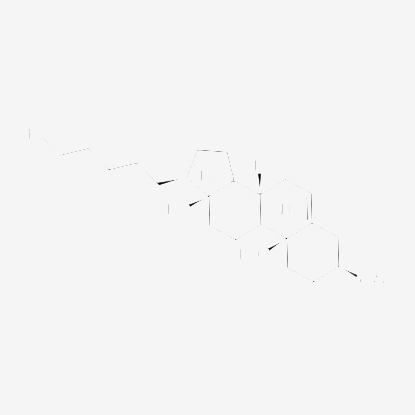 CC(=O)O[C@H]1CC[C@@]2(C)C(=CC[C@H]3[C@@H]4CC[C@H](CCCCCC(C)C)[C@@]4(C)CC[C@@H]32)C1